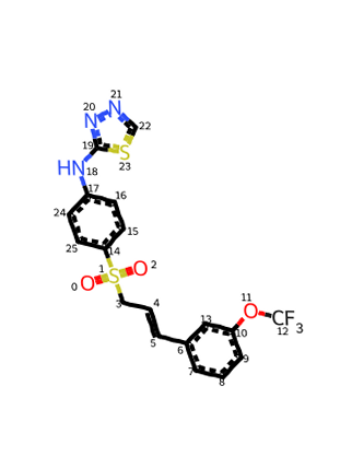 O=S(=O)(CC=Cc1cccc(OC(F)(F)F)c1)c1ccc(Nc2nncs2)cc1